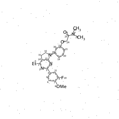 CCc1nc(-c2ccc(OC)c(F)c2)nc2c1CCN2c1cccc(OCC(=O)N(C)C)c1